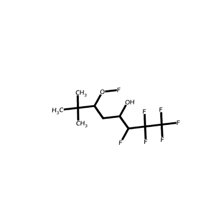 CC(C)(C)C(CC(O)C(F)C(F)(F)C(F)(F)F)OF